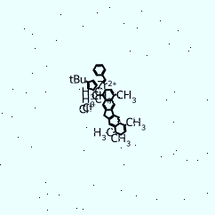 CC1=CCC(C)(C)c2cc3c(cc21)-c1cc2c(cc1C3)C(C)(C)[CH]([Zr+2](=[CH]c1ccccc1)[C]1=CC(C(C)(C)C)=CC1C)C=C2C.[Cl-].[Cl-]